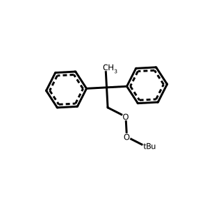 CC(C)(C)OOCC(C)(c1ccccc1)c1ccccc1